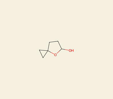 OC1CCC2(CC2)O1